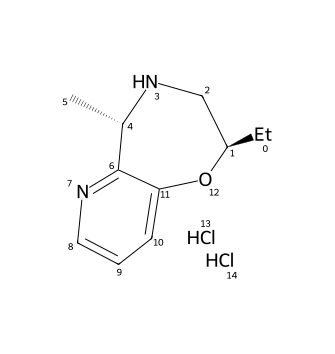 CC[C@@H]1CN[C@@H](C)c2ncccc2O1.Cl.Cl